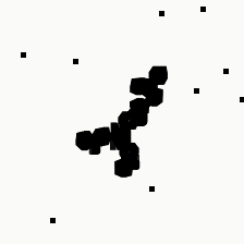 c1ccc(-n2c3ccccc3c3c(-c4ccc5c(c4)oc4cc(-c6nc(-c7ccc8c(c7)sc7ccccc78)nc(-c7ccc8sc9ccccc9c8c7)n6)ccc45)cccc32)cc1